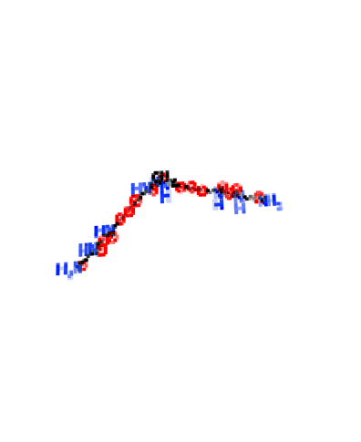 CN(CC(=O)NCCCOCCOCCOCCCNC(=O)COCC(=O)NCCCCON)CC(=O)NCCCOCCOCCOCCCNC(=O)COCC(=O)NCCCCON